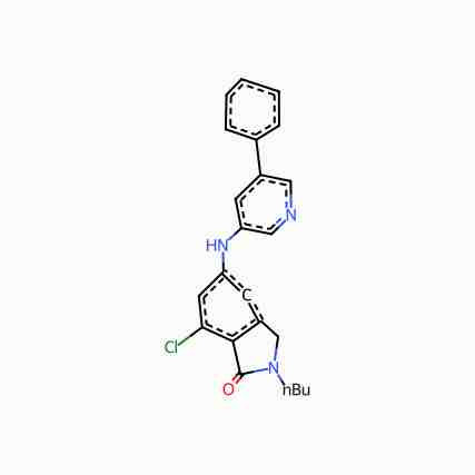 CCCCN1Cc2cc(Nc3cncc(-c4ccccc4)c3)cc(Cl)c2C1=O